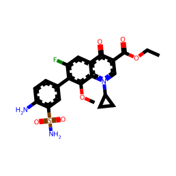 CCOC(=O)c1cn(C2CC2)c2c(OC)c(-c3ccc(N)c(S(N)(=O)=O)c3)c(F)cc2c1=O